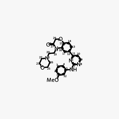 COc1cccc(Nc2nccc(-c3ccc4c(c3)N(CCN3CCOCC3)C(=O)CO4)n2)c1